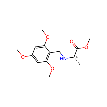 COC(=O)[C@H](C)NCc1c(OC)cc(OC)cc1OC